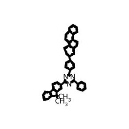 CC1(C)c2ccccc2-c2ccc(-c3nc(-c4ccccc4)nc(-c4ccc(-c5ccc6c(ccc7c8ccccc8ccc67)c5)cc4)n3)cc21